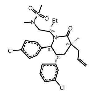 C=CC[C@@]1(C)C[C@H](c2cccc(Cl)c2)[C@@H](c2ccc(Cl)cc2)N([C@@H](CC)CN(C)S(C)(=O)=O)C1=O